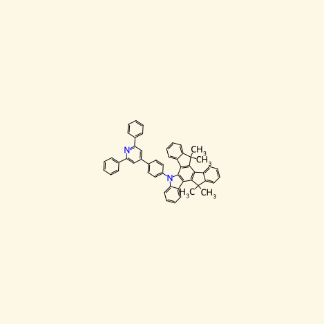 CC1(C)c2ccccc2-c2c1c1c(c3c4ccccc4n(-c4ccc(-c5cc(-c6ccccc6)nc(-c6ccccc6)c5)cc4)c23)C(C)(C)c2ccccc2-1